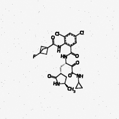 C[C@@H]1C[C@@H](C[C@H](NC(=O)c2cc(Cl)cc(Cl)c2NC(=O)C23CC(F)(C2)C3)C(=O)C(=O)NC2CC2)C(=O)N1